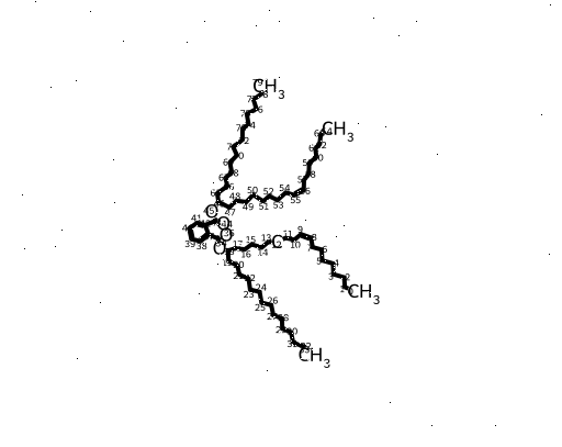 CCCCCCCC/C=C\CCCCCCCCC(CCCCCCCCCCCCCCC)OC(=O)c1ccccc1C(=O)OC(CCCCCCCC/C=C\CCCCCCCC)CCCCCCCCCCCCCCC